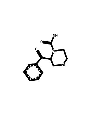 [NH]C(=O)N1CCNCC1C(=O)c1ccccc1